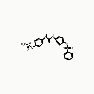 CS(=O)(=O)Oc1ccc(NC(=O)Nc2ccc(OS(=O)(=O)c3ccccc3)cc2)cc1